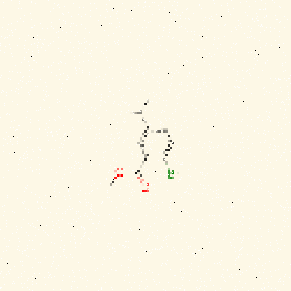 COC(=O)c1cc(C(C)C)ccc1Br